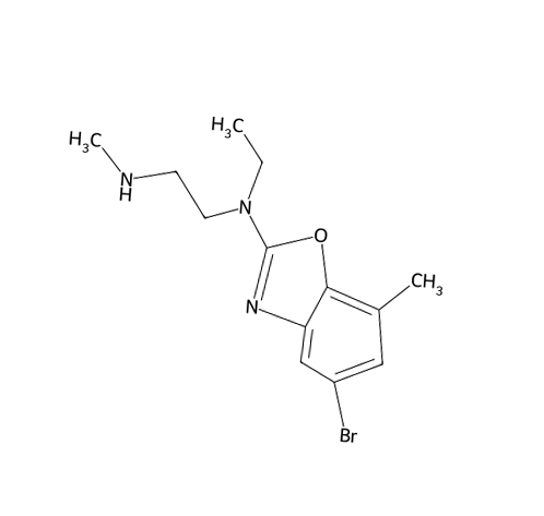 CCN(CCNC)c1nc2cc(Br)cc(C)c2o1